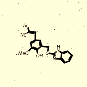 COc1cc(/C=C(\C#N)C(C)=O)cc(CSc2nc3ccccc3[nH]2)c1O